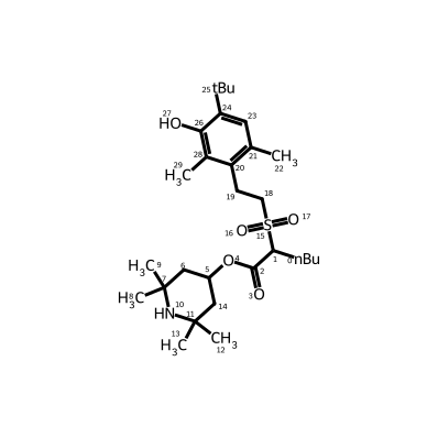 CCCCC(C(=O)OC1CC(C)(C)NC(C)(C)C1)S(=O)(=O)CCc1c(C)cc(C(C)(C)C)c(O)c1C